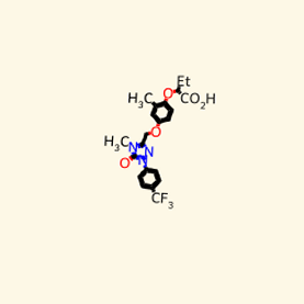 CCC(Oc1ccc(OCc2nn(-c3ccc(C(F)(F)F)cc3)c(=O)n2C)cc1C)C(=O)O